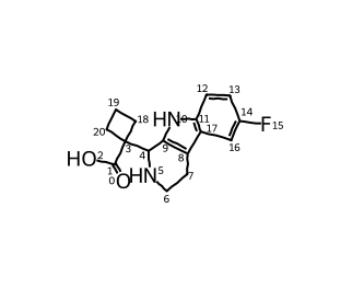 O=C(O)C1(C2NCCc3c2[nH]c2ccc(F)cc32)CCC1